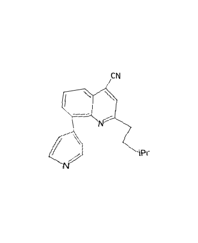 CC(C)CCc1cc(C#N)c2cccc(-c3ccncc3)c2n1